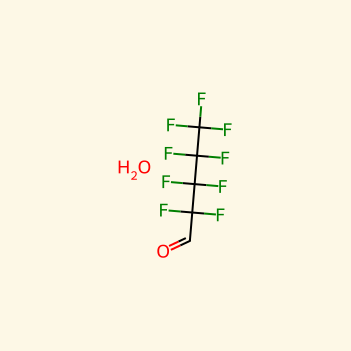 O.O=CC(F)(F)C(F)(F)C(F)(F)C(F)(F)F